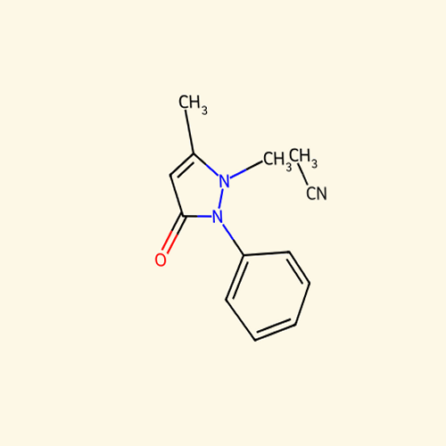 CC#N.Cc1cc(=O)n(-c2ccccc2)n1C